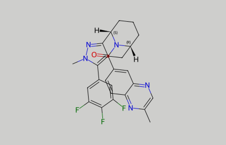 Cc1cnc2cc(C(=O)N3[C@@H]4CCC[C@H]3c3nn(C)c(-c5cc(F)c(F)c(F)c5)c3C4)ccc2n1